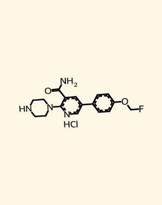 Cl.NC(=O)c1cc(-c2ccc(OCF)cc2)cnc1N1CCNCC1